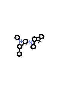 CC1(C)c2ccccc2-c2ccc3c(c21)c1ccccc1n3C1=CC2c3cc(-c4ccccc4)ccc3N(c3ccccc3)C2C=C1